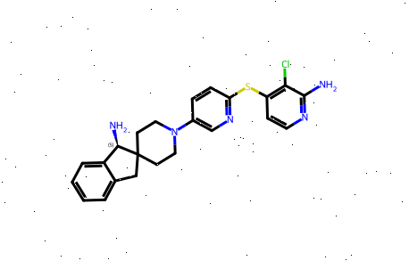 Nc1nccc(Sc2ccc(N3CCC4(CC3)Cc3ccccc3[C@H]4N)cn2)c1Cl